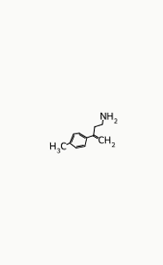 C=C(CCN)c1ccc(C)cc1